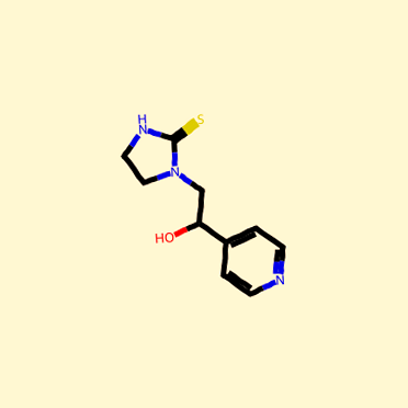 OC(CN1CCNC1=S)c1ccncc1